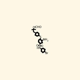 CC(C)(Cc1ccc(Sc2ccc(S(=O)(=O)Nc3ccc(Br)cc3)cc2N)cc1)OC=O